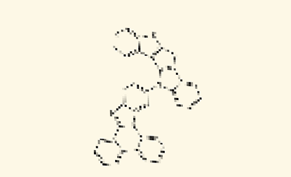 c1ccc2c(c1)sc1sc3c4ccccc4n(-c4ccc5nc6c7ccccc7c7ccccc7n6c5c4)c3c12